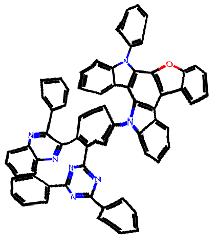 c1ccc(-c2nc(-c3ccccc3)nc(-c3cc(-n4c5ccccc5c5c6c7ccccc7oc6c6c(c7ccccc7n6-c6ccccc6)c54)ccc3-c3nc4ccccc4nc3-c3ccccc3)n2)cc1